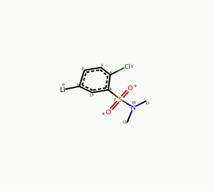 [Li][c]1ccc(Cl)c(S(=O)(=O)N(C)C)c1